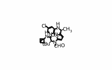 Cc1ncc(Cl)cc1N[C@@H](C)c1ccc(N(C=O)[C@H](C(=O)NC23CC(C2)C3)C(C)(C)C)s1